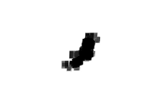 CC(C)N([C@H](CO)CCCC(C)(C)N)S(=O)(=O)c1ccc(N)cc1